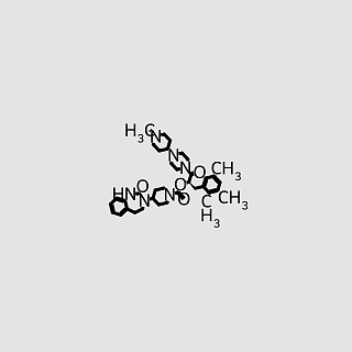 Cc1cc(C)c(C)c(C[C@@H](OC(=O)N2CCC(N3CCc4ccccc4NC3=O)CC2)C(=O)N2CCN(C3CCN(C)CC3)CC2)c1